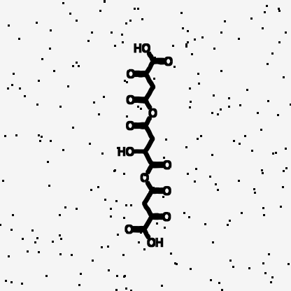 O=C(CC(=O)C(=O)O)OC(=O)CC(O)C(=O)OC(=O)CC(=O)C(=O)O